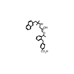 CC(OC[C@H](O)CNC(C)(C)Cc1ccc2ccccc2c1)c1ccccc1Cc1ccc(C(=O)O)cc1